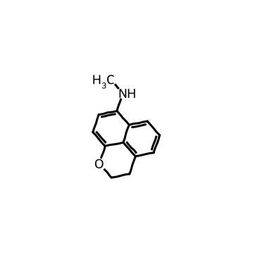 CNc1ccc2c3c(cccc13)CCO2